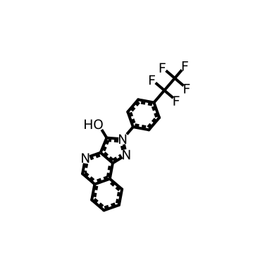 Oc1c2ncc3ccccc3c2nn1-c1ccc(C(F)(F)C(F)(F)F)cc1